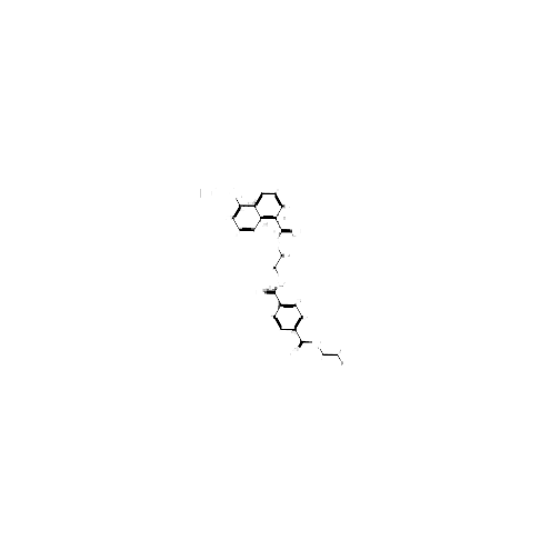 O=C(OCCO)c1ccc(C(=O)OCCOC(=O)c2cccc3c(C(=O)O)cccc23)cc1